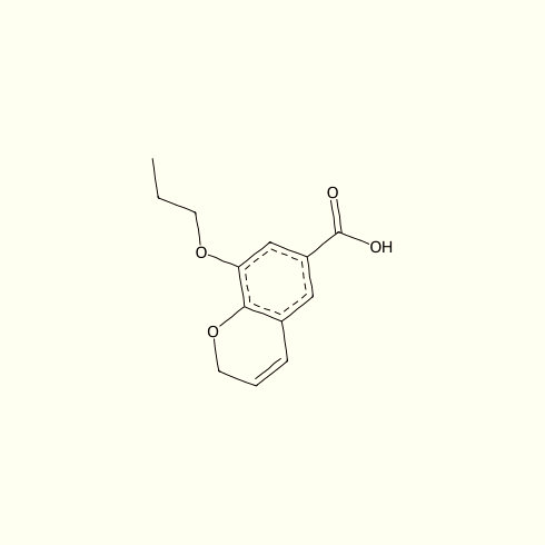 CCCOc1cc(C(=O)O)cc2c1OCC=C2